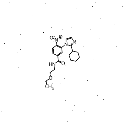 CCOCCNC(=O)c1ccc([N+](=O)[O-])c(-n2ccnc2C2CCCCC2)c1